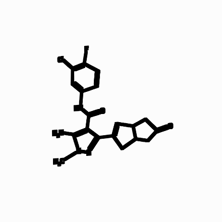 Cn1nc(C2=CC3CC(=O)CC3C2)c(C(=O)Nc2ccc(F)c(Cl)c2)c1N